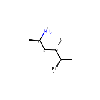 CC[C@H](C)[C@@H](C)C[C@@H](C)N